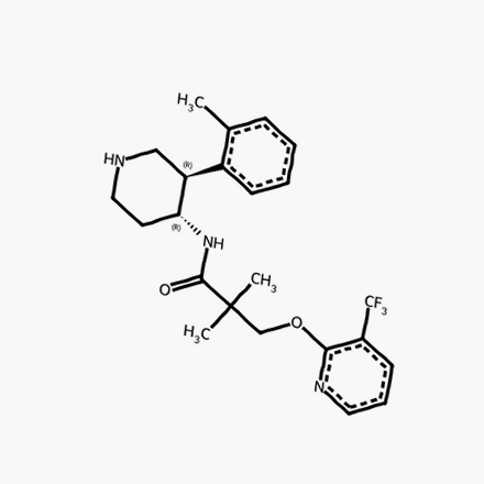 Cc1ccccc1[C@@H]1CNCC[C@H]1NC(=O)C(C)(C)COc1ncccc1C(F)(F)F